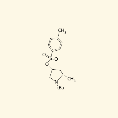 Cc1ccc(S(=O)(=O)O[C@@H]2C[C@H](C)N(C(C)(C)C)C2)cc1